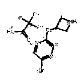 Brc1cnc(OC2CNC2)cn1.O=C(O)C(F)(F)F